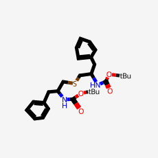 CC(C)(C)OC(=O)NC(CSCC(Cc1ccccc1)NC(=O)OC(C)(C)C)Cc1ccccc1